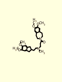 COc1cc2c(cc1OC)CCN(C(=O)CCN(C)CCC1Cc3cc(OC)c(OC)cc3C1)CC2